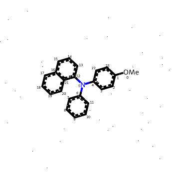 COc1ccc(N(c2ccccc2)c2cccc3ccccc23)cc1